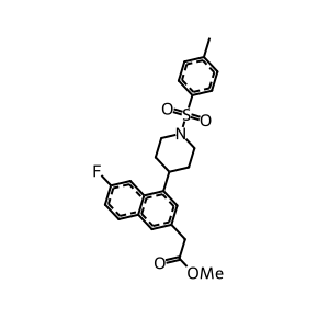 COC(=O)Cc1cc(C2CCN(S(=O)(=O)c3ccc(C)cc3)CC2)c2cc(F)ccc2c1